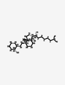 CC(C)CCCCC[C@@H](C)[C@H]1CC[C@H]2[C@H](CCC3CCCC[C@H]3C)CCC[C@]12C